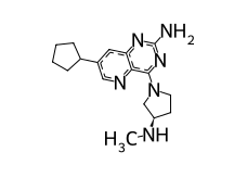 CN[C@@H]1CCN(c2nc(N)nc3cc(C4CCCC4)cnc23)C1